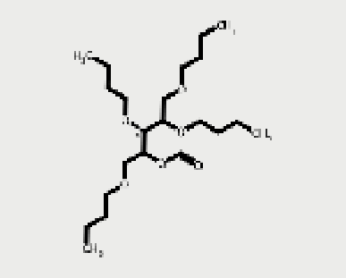 CCCCOCC(OC=O)[C@@H](OCCCC)C(COCCCC)OCCCC